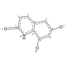 O=c1ccc2cc(Cl)cc(Cl)c2[nH]1